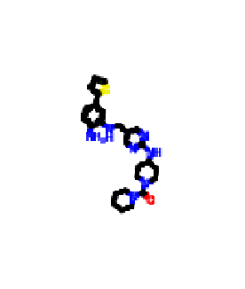 Nc1ccc(-c2cccs2)cc1NCc1cnc(NC2CCN(C(=O)N3CCCCC3)CC2)nc1